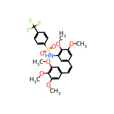 COc1cc(/C=C\c2cc(OC)c(OC)c(OC)c2)cc(NS(=O)(=O)c2ccc(C(F)(F)F)cc2)c1OC